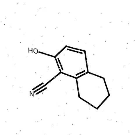 N#Cc1c(O)ccc2c1CCCC2